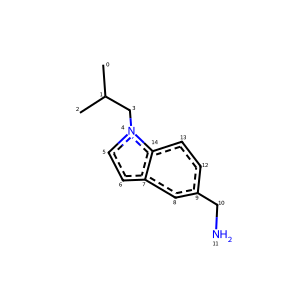 CC(C)Cn1ccc2cc(CN)ccc21